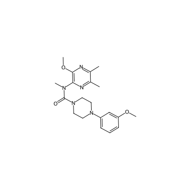 COc1cccc(N2CCN(C(=O)N(C)c3nc(C)c(C)nc3OC)CC2)c1